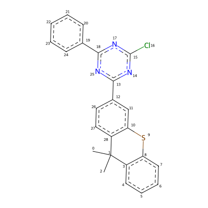 CC1(C)c2ccccc2Sc2cc(-c3nc(Cl)nc(-c4ccccc4)n3)ccc21